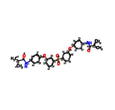 C=C(C)C(=O)Nc1ccc(Oc2cccc(S(=O)(=O)c3cccc(Oc4ccc(NC(=O)C(=C)C)cc4)c3)c2)cc1